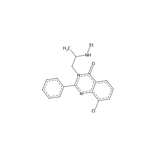 CCNC(C)Cn1c(-c2ccccc2)nc2c(Cl)cccc2c1=O